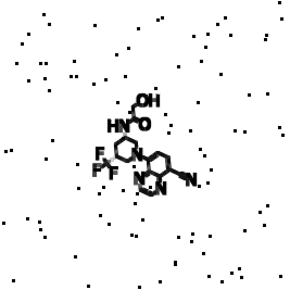 N#Cc1ccc(N2C[C@@H](NC(=O)CO)C[C@@H](C(F)(F)F)C2)c2nccnc12